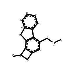 COCc1cc2c(c3c1-c1ccccc1[CH]3)C(C)C2